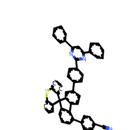 N#Cc1ccc(-c2cccc3c2-c2ccc(-c4ccc(-c5nc(-c6ccccc6)cc(-c6ccccc6)n5)cc4)cc2C32c3ccccc3Sc3ccccc32)cc1